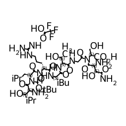 CCC(C)[C@H](NC(=O)[C@@H](CCCNC(=N)N)NC(=O)[C@H](CC(C)C)N(C(=O)OC(C)(C)C)C(=O)[C@@H](N)[C@H](O)C(C)C)C(=O)N[C@H](C(=O)NCC(=O)N(C(=O)[C@@H](N)[C@H](O)C(N)=O)[C@@H](CO)C(=O)O)[C@H](C)O.O=C(O)C(F)(F)F